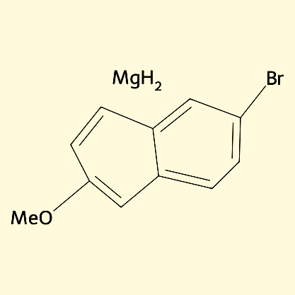 COc1ccc2cc(Br)ccc2c1.[MgH2]